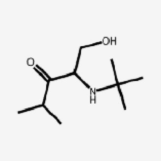 CC(C)C(=O)C(CO)NC(C)(C)C